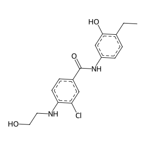 CCc1ccc(NC(=O)c2ccc(NCCO)c(Cl)c2)cc1O